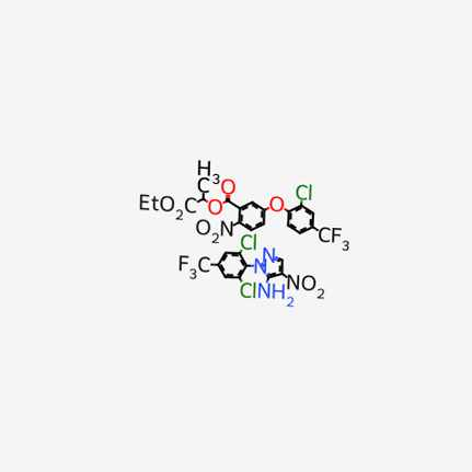 CCOC(=O)C(C)OC(=O)c1cc(Oc2ccc(C(F)(F)F)cc2Cl)ccc1[N+](=O)[O-].Nc1c([N+](=O)[O-])cnn1-c1c(Cl)cc(C(F)(F)F)cc1Cl